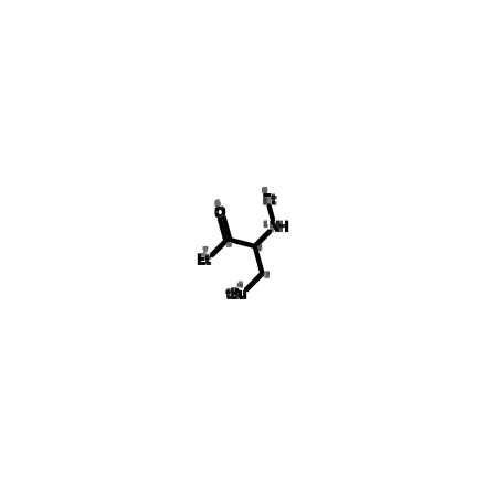 CCNC(CC(C)(C)C)C(=O)CC